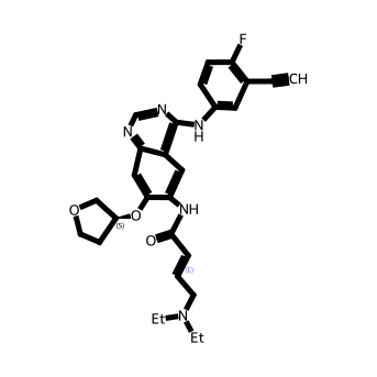 C#Cc1cc(Nc2ncnc3cc(O[C@H]4CCOC4)c(NC(=O)/C=C/CN(CC)CC)cc23)ccc1F